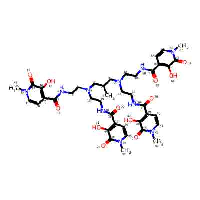 CC(CN(CCNC(=O)c1ccn(C)c(=O)c1O)CCNC(=O)c1ccn(C)c(=O)c1O)CN(CCNC(=O)c1ccn(C)c(=O)c1O)CCNC(=O)c1ccn(C)c(=O)c1O